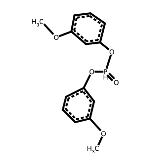 COc1cccc(O[PH](=O)Oc2cccc(OC)c2)c1